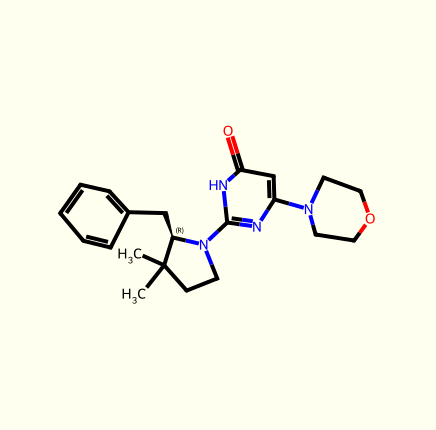 CC1(C)CCN(c2nc(N3CCOCC3)cc(=O)[nH]2)[C@@H]1Cc1ccccc1